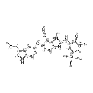 COCc1n[nH]c2ncc(Oc3cnc4nc(Nc5cc(C(F)(F)F)cn(C)c5=O)n(C)c4c3C#N)cc12